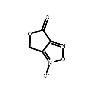 O=C1OCc2c1no[n+]2[O-]